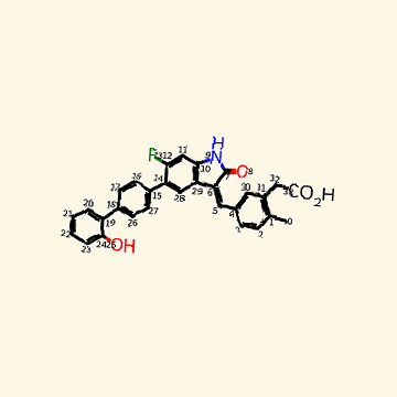 Cc1ccc(C=C2C(=O)Nc3cc(F)c(-c4ccc(-c5ccccc5O)cc4)cc32)cc1CC(=O)O